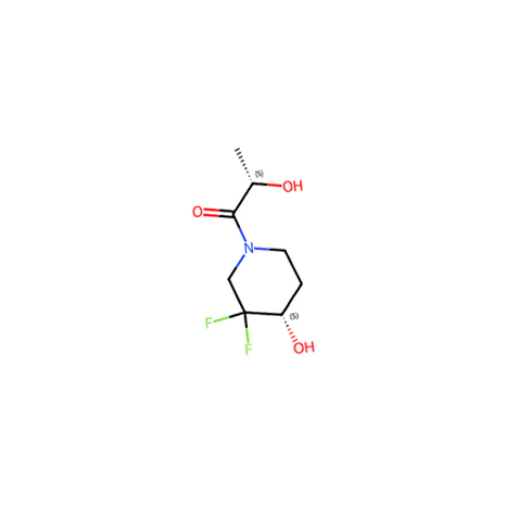 C[C@H](O)C(=O)N1CC[C@H](O)C(F)(F)C1